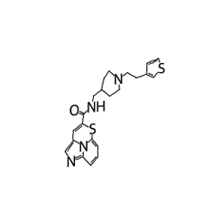 O=C(NCC1CCN(CCc2ccsc2)CC1)C1=Cc2cnc3cccc(n23)S1